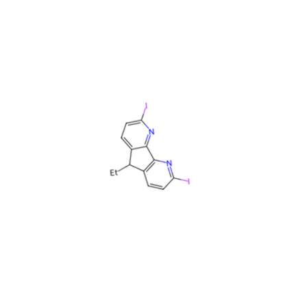 CCC1c2ccc(I)nc2-c2nc(I)ccc21